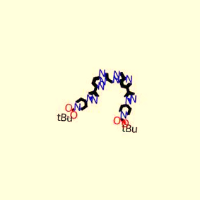 CC(C)(C)OC(=O)N1CCC(n2cc(-c3cnc4cnn(Cc5cnc6ccc(-c7cnn(C8CCN(C(=O)OC(C)(C)C)CC8)c7)nn56)c4c3)cn2)CC1